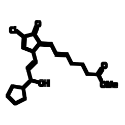 COC(=O)CCCC=CC=C1C(=O)C(Cl)=CC1C=CC(O)C1CCCC1